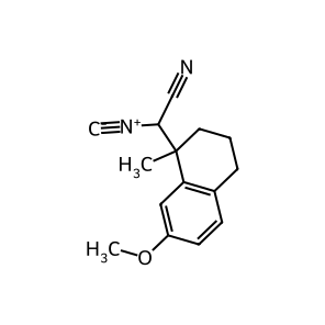 [C-]#[N+]C(C#N)C1(C)CCCc2ccc(OC)cc21